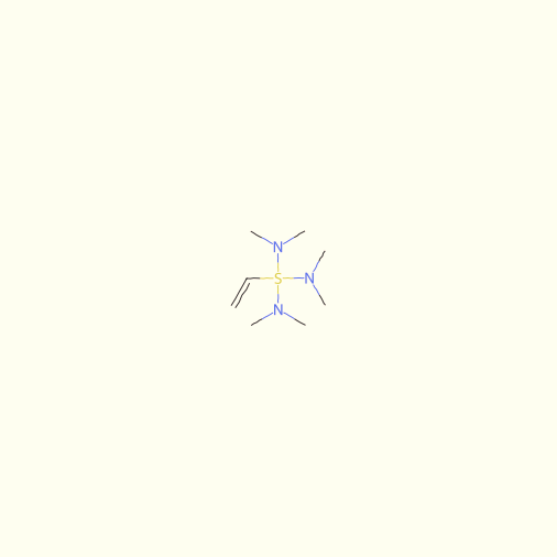 C=CS(N(C)C)(N(C)C)N(C)C